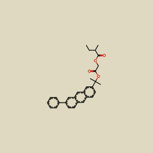 CCC(C)C(=O)OCC(=O)OC(C)(C)c1ccc2cc3ccc(-c4ccccc4)cc3cc2c1